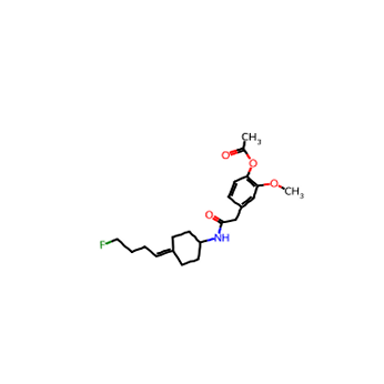 COc1cc(CC(=O)NC2CCC(=CCCCF)CC2)ccc1OC(C)=O